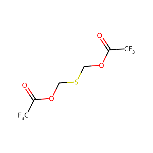 O=C(OCSCOC(=O)C(F)(F)F)C(F)(F)F